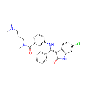 CN(C)CCCN(C)C(=O)c1cccc(NC(=C2C(=O)Nc3cc(Cl)ccc32)c2ccccc2)c1